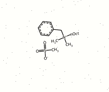 CCCCCCCC[N+](C)(C)Cc1ccccc1.CS(=O)(=O)[O-]